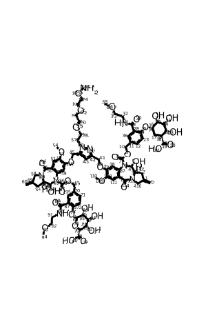 C=C1C[C@H]2C(O)N(C(=O)OCc3ccc(O[C@@H]4C[C@H](C(=O)O)[C@@H](O)[C@H](O)[C@H]4O)c(C(=O)NCCOC)c3)c3cc(OCc4cc(COc5cc6c(cc5OC)C(=O)N5CC(=C)C[C@H]5C(O)N6C(=O)OCc5ccc(O[C@@H]6O[C@H](C(=O)O)[C@@H](O)[C@H](O)[C@H]6O)c(C(=O)NCCOC)c5)n(CCOCCOCCON)n4)c(OC)cc3C(=O)N2C1